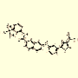 CC(C)(C)c1cccc(NC(=O)c2ccc3ccc(Oc4ccnc(-c5nc(C(=O)O)c[nH]5)c4)cc3c2)c1